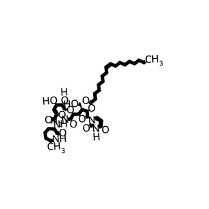 CCCCCCCC/C=C\CCCCCCCC(=O)O[C@@H]1[C@H](CO)[C@@H]([C@@H](O[C@H]2OC(C(=O)N[C@H]3CCC[C@@H](C)NC3=O)=C[C@H](O)[C@@H]2O)C(N)=O)O[C@H]1n1ccc(=O)[nH]c1=O